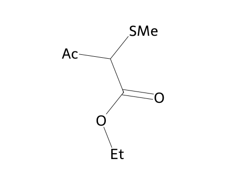 CCOC(=O)C(SC)C(C)=O